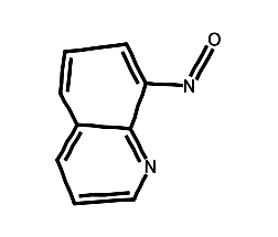 O=Nc1cccc2cccnc12